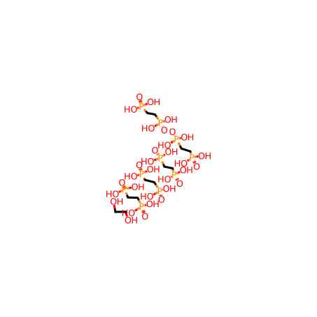 O=P(O)(O)CCP(=O)(O)O.O=P(O)(O)CCP(=O)(O)O.O=P(O)(O)CCP(=O)(O)O.O=P(O)(O)CCP(=O)(O)O.O=P(O)(O)CCP(=O)(O)O.OCCO